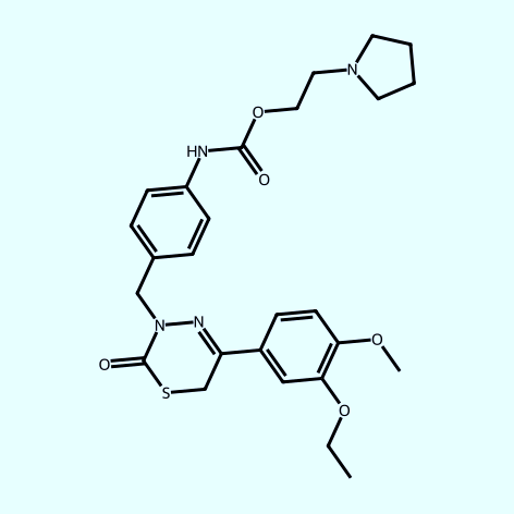 CCOc1cc(C2=NN(Cc3ccc(NC(=O)OCCN4CCCC4)cc3)C(=O)SC2)ccc1OC